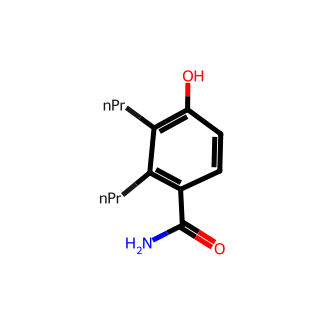 CCCc1c(O)ccc(C(N)=O)c1CCC